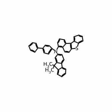 CC1(C)c2ccccc2-c2ccc(N(c3ccc(-c4ccccc4)cc3)c3cccc4c3ccc3sc5ccccc5c34)cc21